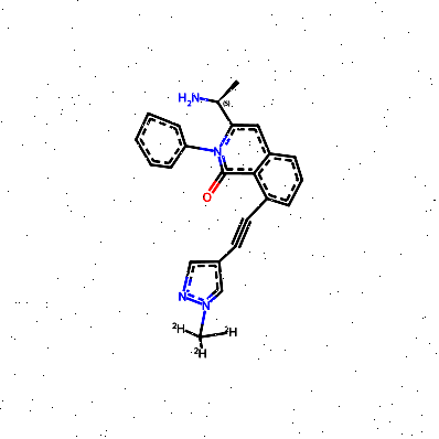 [2H]C([2H])([2H])n1cc(C#Cc2cccc3cc([C@H](C)N)n(-c4ccccc4)c(=O)c23)cn1